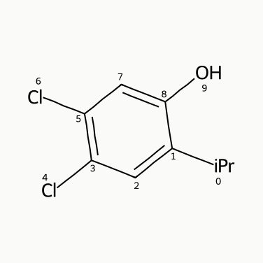 CC(C)c1cc(Cl)c(Cl)cc1O